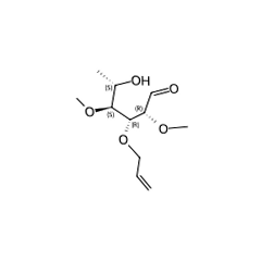 C=CCO[C@H]([C@@H](OC)[C@H](C)O)[C@H](C=O)OC